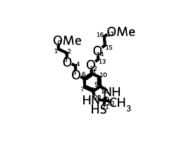 COCCOCOc1cc2c(cc1OCOCCOC)NC(C)(S)N2